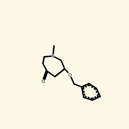 CN1CCC(=O)CC(OCc2ccccc2)C1